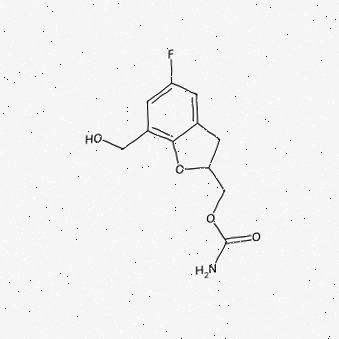 NC(=O)OCC1Cc2cc(F)cc(CO)c2O1